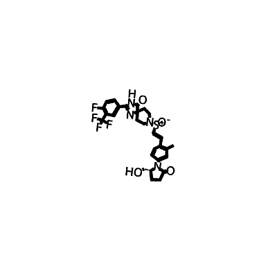 Cc1cc(N2C(=O)CC[C@@H]2CO)ccc1/C=C/[S@+]([O-])N1CCC2(CC1)N=C(c1ccc(F)c(C(F)(F)F)c1)NC2=O